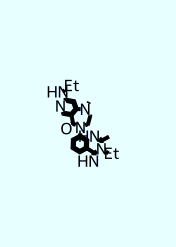 CCNc1cc2c(cn1)C(=O)N(c1cccc(C(=N)N(CC)C(C)=N)c1)CCN2C